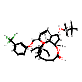 CC[Si](CC)(CC)O[C@H](/C=C\[C@@H]1[C@H]2CC=CCCCC(=O)O[C@H]2C[C@H]1O[Si](C)(C)C(C)(C)C)COc1cccc(C(F)(F)F)c1